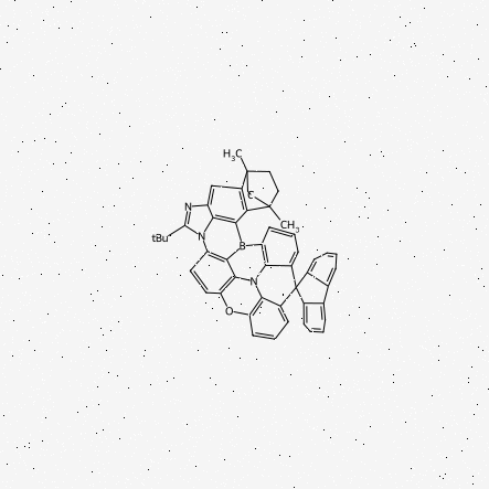 CC(C)(C)c1nc2cc3c(c4c2n1-c1ccc2c5c1B4c1cccc4c1N5c1c(cccc1C41c4ccccc4-c4ccccc41)O2)C1(C)CCC3(C)CC1